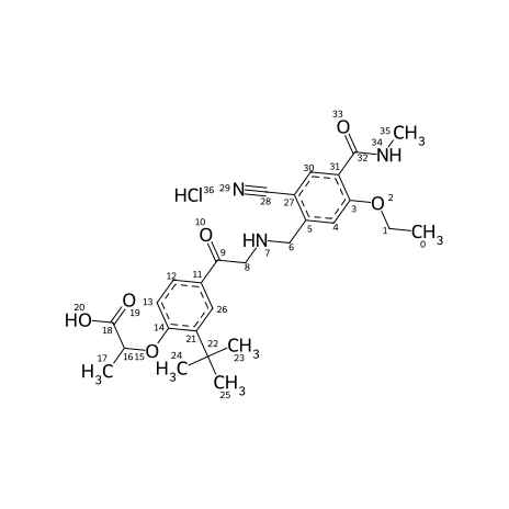 CCOc1cc(CNCC(=O)c2ccc(OC(C)C(=O)O)c(C(C)(C)C)c2)c(C#N)cc1C(=O)NC.Cl